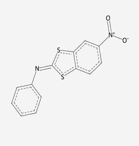 O=[N+]([O-])c1ccc2s/c(=N\c3ccccc3)sc2c1